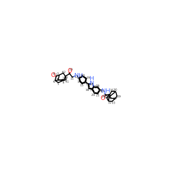 O=C1C2CC3CC1CC(C(=O)CNc1ccc(-c4cc5ccc(NC(=O)C67CC8CC(CC(C8)C6)C7)cc5[nH]4)cc1)(C3)C2